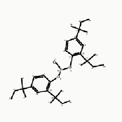 CCC(C)(C)c1ccc(OP(Cl)Oc2ccc(C(C)(C)CC)cc2C(C)(C)CC)c(C(C)(C)CC)c1